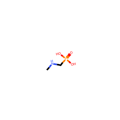 CNCP(=O)(O)O